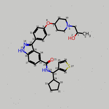 CC(O)CN1CCC(Oc2ccc(-c3n[nH]c4ccc(C(=O)NC(c5ccsc5)C5CCCC5)cc34)cc2)CC1